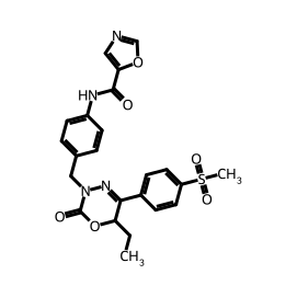 CCC1OC(=O)N(Cc2ccc(NC(=O)c3cnco3)cc2)N=C1c1ccc(S(C)(=O)=O)cc1